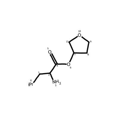 CC(C)CC(N)C(=O)OC1CCOC1